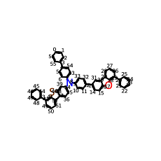 c1ccc(-c2ccc(N(c3ccc(-c4ccc5oc6c(-c7ccccc7)cccc6c5c4)cc3)c3ccc4c(c3)sc3c(-c5ccccc5)cccc34)cc2)cc1